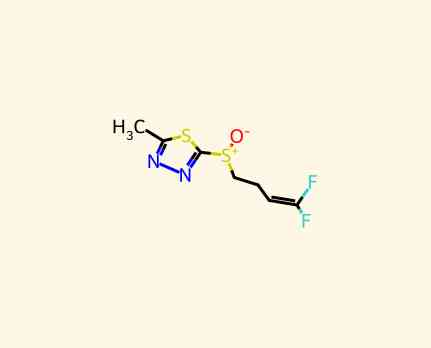 Cc1nnc([S+]([O-])CCC=C(F)F)s1